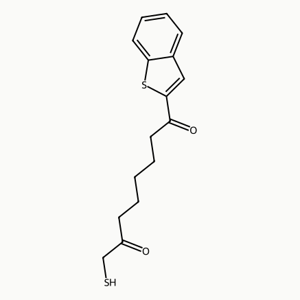 O=C(CS)CCCCCC(=O)c1cc2ccccc2s1